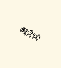 O=C1CC2(CC[C@H]1c1ccc(OS(=O)(=O)C(F)(F)F)nc1)Cc1ccccc1C2